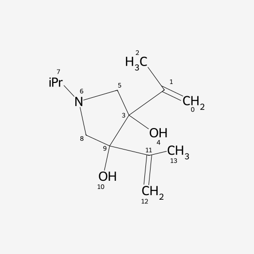 C=C(C)C1(O)CN(C(C)C)CC1(O)C(=C)C